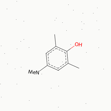 CNc1cc(C)c(O)c(C)c1